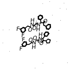 C[C@H](NC(C(=O)C1CCCC1)c1ccccc1)C(=O)NC(=O)Cc1cc(F)cc(F)c1.C[C@H](NC(C(=O)Cc1ccccc1)c1ccccc1)C(=O)NC(=O)Cc1cc(F)cc(F)c1